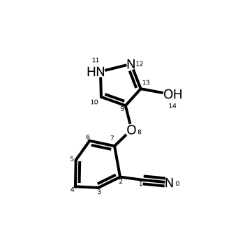 N#Cc1ccccc1Oc1c[nH]nc1O